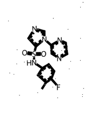 Cc1cc(NS(=O)(=O)c2cncn2-c2cnccn2)ccc1F